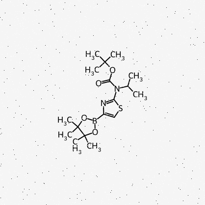 CC(C)N(C(=O)OC(C)(C)C)c1nc(B2OC(C)(C)C(C)(C)O2)cs1